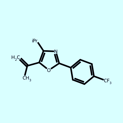 C=C(C)c1oc(-c2ccc(C(F)(F)F)cc2)nc1C(C)C